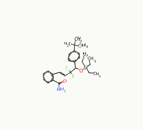 CC[Si](CC)(CC)OC(c1ccc(C(C)(C)C)cc1)C(F)(F)C=Cc1ccccc1C(N)=O